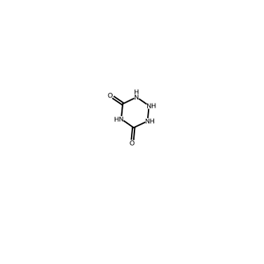 O=C1NNNC(=O)N1